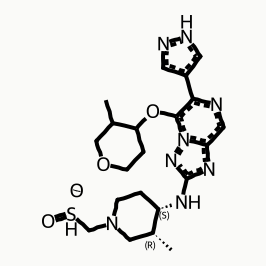 CC1COCCC1Oc1c(-c2cn[nH]c2)ncc2nc(N[C@H]3CCN(C[SH](=O)=O)C[C@H]3C)nn12